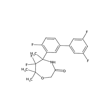 CC1(C)OCC(=O)NC(C)(c2cc(-c3cc(F)cc(F)c3)ccc2F)C1(F)F